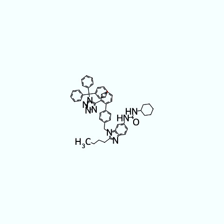 CCCCc1nc2ccc(NC(=O)NC3CCCCC3)cc2n1Cc1ccc(-c2ccccc2-c2nnnn2C(c2ccccc2)(c2ccccc2)c2ccccc2)cc1